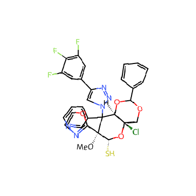 CO[C@@]1(c2ncco2)[C@@H](S)O[C@@]2(Cl)COC(c3ccccc3)O[C@@H]2C1(c1cccnc1)n1cc(-c2cc(F)c(F)c(F)c2)nn1